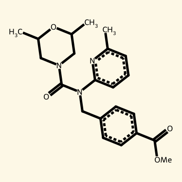 COC(=O)c1ccc(CN(C(=O)N2CC(C)OC(C)C2)c2cccc(C)n2)cc1